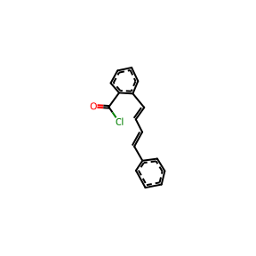 O=C(Cl)c1ccccc1C=CC=Cc1ccccc1